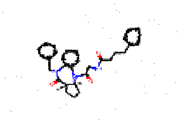 O=C(CCCc1ccccc1)NCC(=O)N1c2ccccc2N(Cc2ccccc2)C(=O)[C@H]2CCC[C@H]21